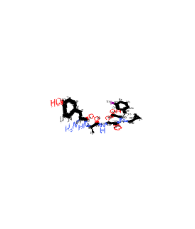 C[C@@H](NC(=O)[C@@H](N)Cc1ccc(O)cc1)C(=O)NCC(=O)N(CC1CC1)[C@@H](Cc1cccc(I)c1)C(=O)O